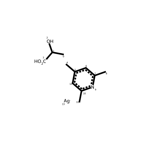 CC(O)C(=O)O.Cc1cc(C)nc(C)c1.[Ag]